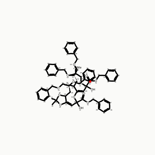 COC(C)COC(O)(/C=C(/OC(O)(/C=C1/OC(C)(C)OC1C[C@@H](COCc1ccccc1)OCc1ccccc1)C(=O)OCc1ccccc1)C(O)C[C@@H](COCc1ccccc1)OCc1ccccc1)C(=O)OCc1ccccc1